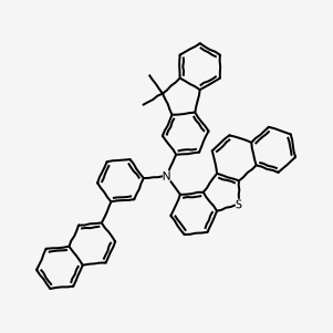 CC1(C)c2ccccc2-c2ccc(N(c3cccc(-c4ccc5ccccc5c4)c3)c3cccc4sc5c6ccccc6ccc5c34)cc21